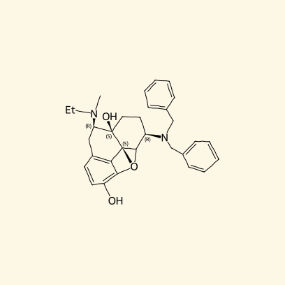 CCN(C)[C@@H]1Cc2ccc(O)c3c2[C@@]2(C)C(O3)[C@H](N(Cc3ccccc3)Cc3ccccc3)CC[C@@]12O